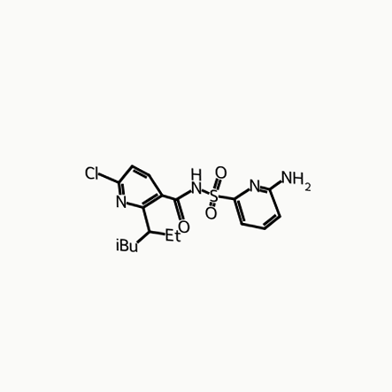 CCC(C)C(CC)c1nc(Cl)ccc1C(=O)NS(=O)(=O)c1cccc(N)n1